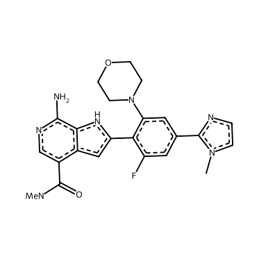 CNC(=O)c1cnc(N)c2[nH]c(-c3c(F)cc(-c4nccn4C)cc3N3CCOCC3)cc12